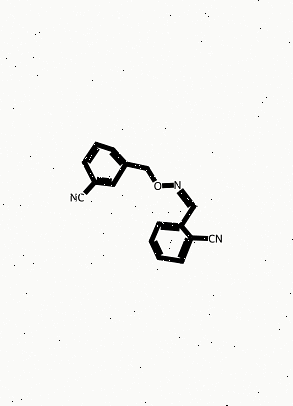 N#Cc1cccc(CO/N=[C]\c2ccccc2C#N)c1